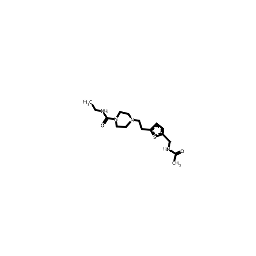 CCNC(=O)N1CCN(CCc2ccc(CNC(C)=O)s2)CC1